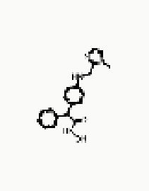 Cn1ccnc1CNc1ccc(C(C(=O)NO)c2ccccc2)cc1